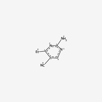 CCc1nc(N)ncc1C#N